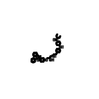 CCN(CC)C(=O)N1CCC(Nc2ccc(CCNC[C@H](O)COc3ccc(O[Si](c4ccccc4)(c4ccccc4)C(C)(C)C)cc3)cc2)CC1